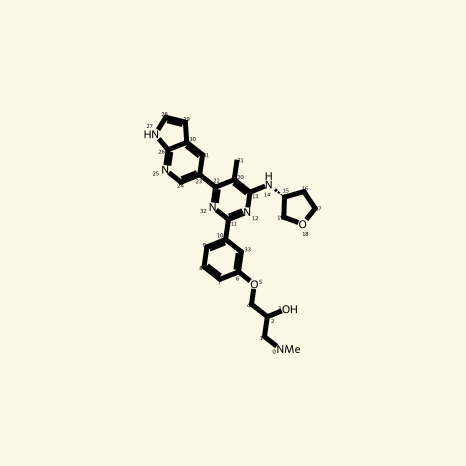 CNCC(O)COc1cccc(-c2nc(N[C@@H]3CCOC3)c(C)c(-c3cnc4[nH]ccc4c3)n2)c1